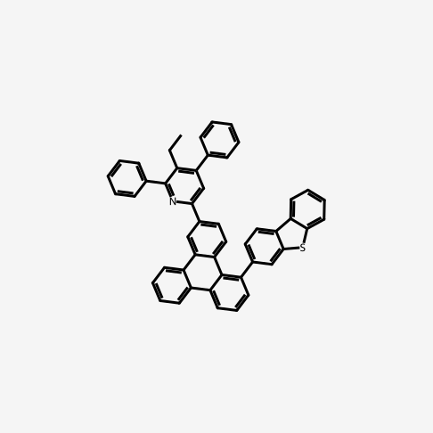 CCc1c(-c2ccccc2)cc(-c2ccc3c(c2)c2ccccc2c2cccc(-c4ccc5c(c4)sc4ccccc45)c23)nc1-c1ccccc1